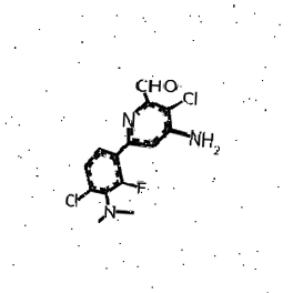 CN(C)c1c(Cl)ccc(-c2cc(N)c(Cl)c([C]=O)n2)c1F